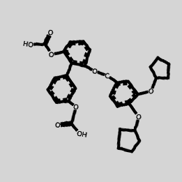 O=C(O)Oc1cccc(-c2c(OCc3ccc(OC4CCCC4)c(OC4CCCC4)c3)cccc2OC(=O)O)c1